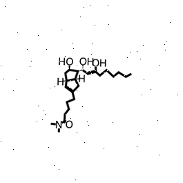 CCCCCCC(O)=C[C@@H](O)[C@@H]1[C@H]2CC(CCCCC(=O)N(C)C)=C[C@H]2C[C@H]1O